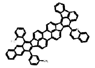 Cc1cccc(-c2c3c(c(-c4ccccc4C)c4cc5ccccc5cc24)-c2ccc4c5ccc6c7c(ccc(c8ccc-3c2c84)c57)c2c(-c3ccc4ccccc4n3)c3cccc4c5ccccc5c(c34)c62)c1